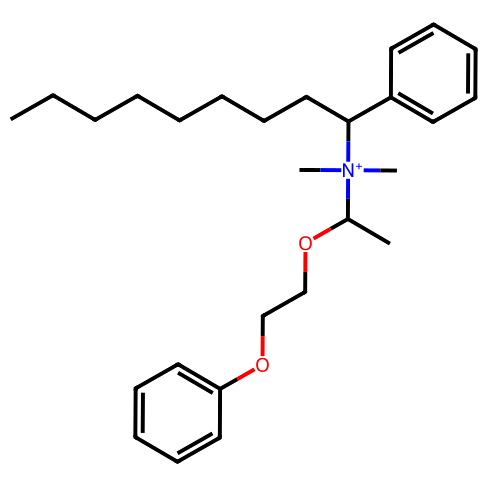 CCCCCCCCC(c1ccccc1)[N+](C)(C)C(C)OCCOc1ccccc1